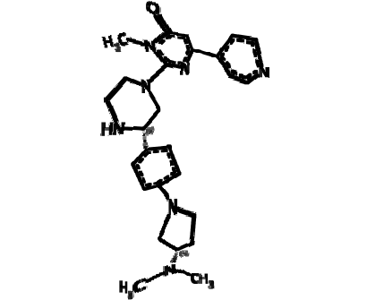 CN(C)[C@H]1CCN(c2ccc([C@H]3CN(c4nc(-c5ccncc5)cc(=O)n4C)CCN3)cc2)C1